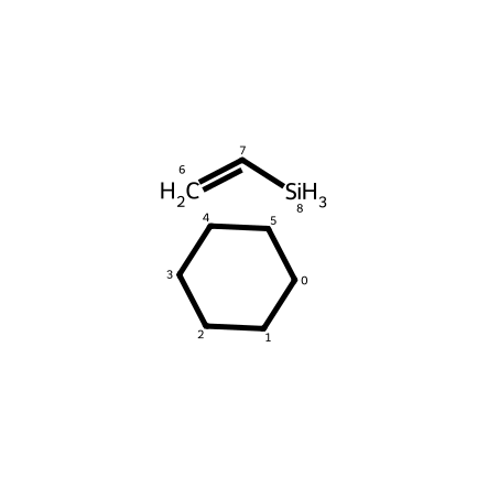 C1CCCCC1.C=C[SiH3]